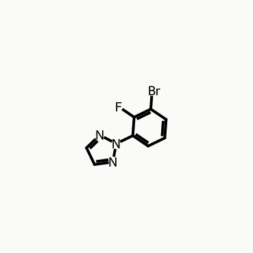 Fc1c(Br)cccc1-n1nccn1